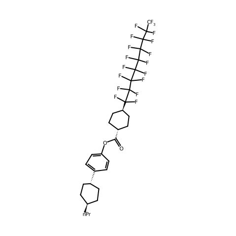 CCC[C@H]1CC[C@H](c2ccc(OC(=O)[C@H]3CC[C@H](C(F)(F)C(F)(F)C(F)(F)C(F)(F)C(F)(F)C(F)(F)C(F)(F)C(F)(F)C(F)(F)F)CC3)cc2)CC1